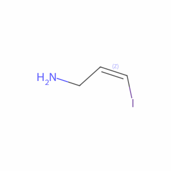 NC/C=C\I